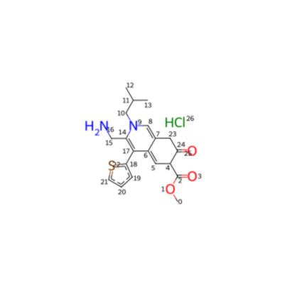 COC(=O)C1C=C2C(=CN(CC(C)C)C(CN)=C2c2cccs2)CC1=O.Cl